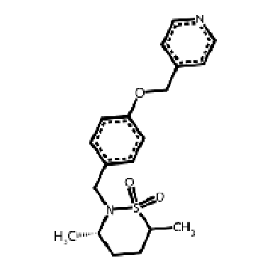 CC1CC[C@H](C)N(Cc2ccc(OCc3ccncc3)cc2)S1(=O)=O